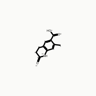 Cc1cc2c(cc1C(=O)O)CCC(=O)N2